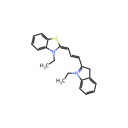 CCN1C(=CC=CC2=[N+](CC)c3ccccc3C2)Sc2ccccc21